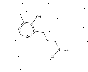 CCN(CC)CCCc1cccc(C)c1O